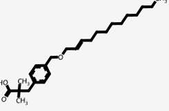 CCCCCCCCCCC=CCOCc1ccc(CC(C)(C)C(=O)O)cc1